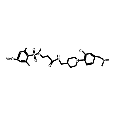 COc1cc(C)c(S(=O)(=O)N(C)CCC(=O)NCC2CCN(c3ccc(CN(C)C)cc3Cl)CC2)c(C)c1